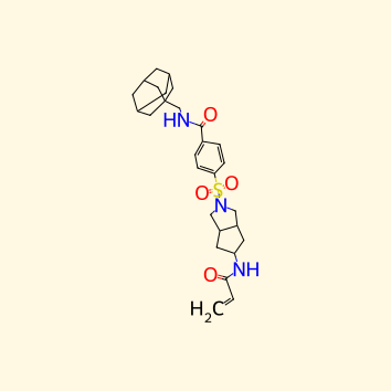 C=CC(=O)NC1CC2CN(S(=O)(=O)c3ccc(C(=O)NCC45CC6CC(CC(C6)C4)C5)cc3)CC2C1